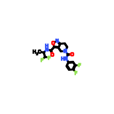 CC(NC(=O)c1onc2c1CN(C(=O)Nc1ccc(F)c(F)c1)CC2)C(F)F